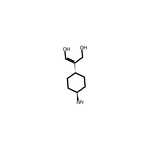 CCC[C@H]1CC[C@H](C(=CO)CO)CC1